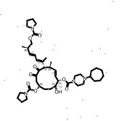 C/C(=C\C=C\[C@@H](C)COC(=O)N1CCCC1)[C@H]1C(=O)C(=O)C[C@H](OC(=O)N2CCCC2)CC[C@](C)(O)[C@@H](OC(=O)N2CCN(C3CCCCCC3)CC2)/C=C/[C@@H]1C